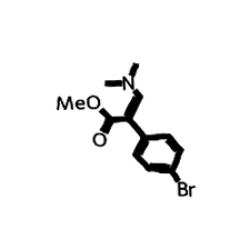 COC(=O)C(=CN(C)C)c1ccc(Br)cc1